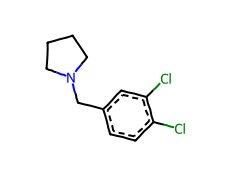 Clc1ccc(CN2CCCC2)cc1Cl